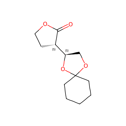 O=C1OCC[C@H]1[C@H]1COC2(CCCCC2)O1